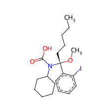 CCCCC[C@@](OC)(c1ccccc1I)N(C(=O)O)C1CCCCC1